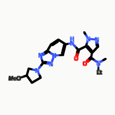 CCN(C)C(=O)c1cnn(C)c1C(=O)Nc1ccc2nc(N3CCC(OC)C3)nn2c1